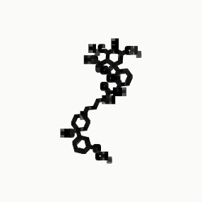 COc1cccc(C2(O)CCN(CCCNC(=O)Nc3cccc(C4(C(=O)O)C=C(C)NC(C)C4C(=O)O)c3)CC2)c1